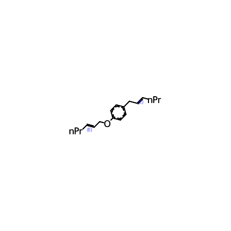 [CH2]CC/C=C/Cc1ccc(OC/C=C/CCC)cc1